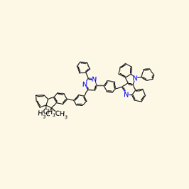 CC1(C)c2cc(-c3cccc(-c4cc(-c5ccc(-c6nc7ccccc7c7c6c6ccccc6n7-c6ccccc6)cc5)nc(-c5ccccc5)n4)c3)ccc2C2C=CC=CC21C